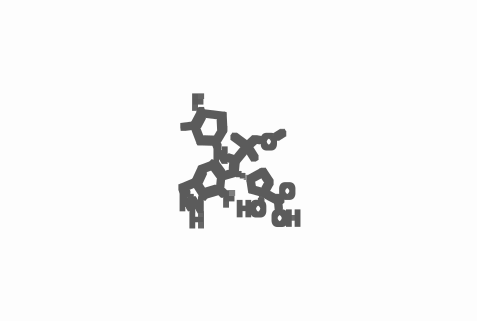 COCC(C)(C)c1c([C@@H]2CC[C@@](O)(C(=O)O)C2)c2c(F)c3[nH]ncc3cc2n1-c1ccc(F)c(C)c1